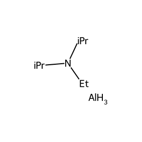 [AlH3].[CH2]CN(C(C)C)C(C)C